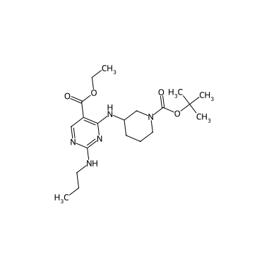 CCCNc1ncc(C(=O)OCC)c(NC2CCCN(C(=O)OC(C)(C)C)C2)n1